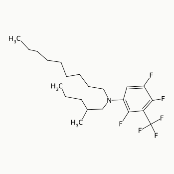 CCCCCCCCCN(CC(C)CCC)c1cc(F)c(F)c(C(F)(F)F)c1F